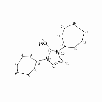 OC1N(C2CCCCCC2)C=CN1C1CCCCCC1